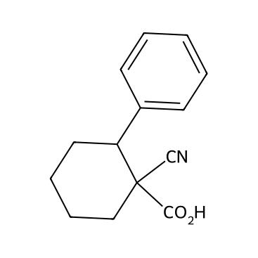 N#CC1(C(=O)O)CCCCC1c1ccccc1